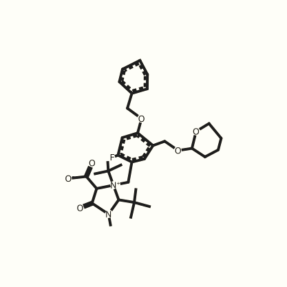 CN1C(=O)C(C(=O)[O-])[N+](Cc2cc(COC3CCCCO3)c(OCc3ccccc3)cc2F)(C(C)(C)C)C1C(C)(C)C